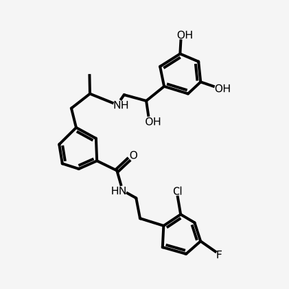 CC(Cc1cccc(C(=O)NCCc2ccc(F)cc2Cl)c1)NCC(O)c1cc(O)cc(O)c1